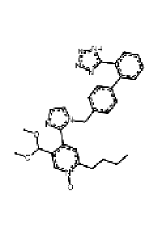 CCCCc1cc(-c2nccn2Cc2ccc(-c3ccccc3-c3nnn[nH]3)cc2)c(C(OC)OC)c[n+]1[O-]